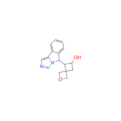 OC1CC2(COC2)C1C1c2ccccc2-c2cncn21